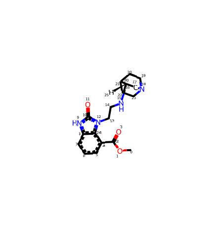 COC(=O)c1cccc2[nH]c(=O)n(CCN[C@H]3CN4CCC3CC4)c12